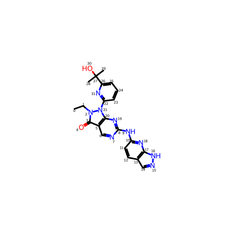 CCn1c(=O)c2cnc(Nc3ccc4cn[nH]c4n3)nc2n1-c1cccc(C(C)(C)O)n1